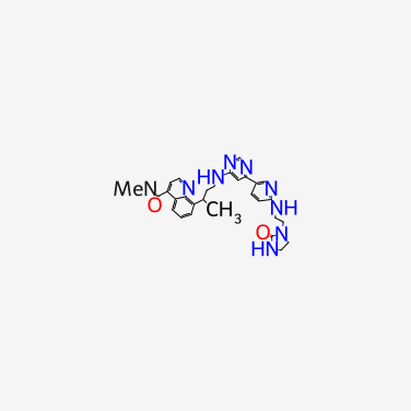 CNC(=O)c1ccnc2c(C(C)CCNc3cc(-c4ccc(NCCN5CCNC5=O)nc4)ncn3)cccc12